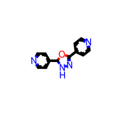 c1cc(C2=NNC(c3ccncc3)O2)ccn1